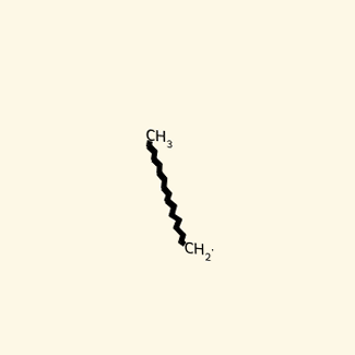 [CH2]CCCCCC=CC=CC=CC=CC=CC